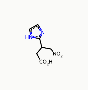 O=C(O)CC(C[N+](=O)[O-])c1ncc[nH]1